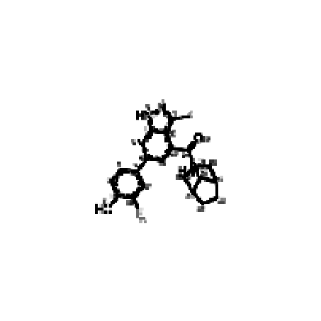 Cc1n[nH]c2nc(-c3ccc(O)c(F)c3)cc(C(=O)N3CC4CCC(C3)C4N)c12